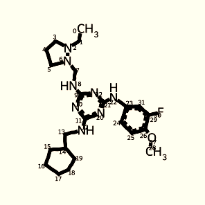 CCN1CCCN1CNc1nc(NCC2CCCCC2)nc(Nc2ccc(OC)c(F)c2)n1